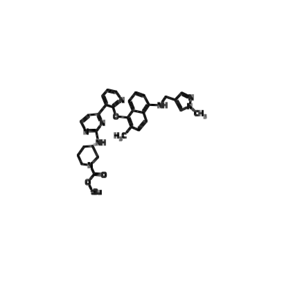 Cc1ccc2c(NCc3cnn(C)c3)cccc2c1Oc1ncccc1-c1ccnc(N[C@H]2CCCN(C(=O)OC(C)(C)C)C2)n1